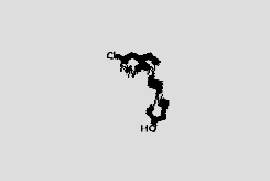 OC1CCN(CCn2ccc3cc(Cl)nnc32)C1